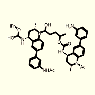 CC(=O)Nc1cccc(-c2ccc3c(c2)[C@H](NC(O)OC(C)C)C[C@H](C)N3C(O)CCC(C)OC(=O)N[C@@H]2C[C@H](C)N(C(C)=O)c3ccc(-c4cccc(N)c4)cc32)c1